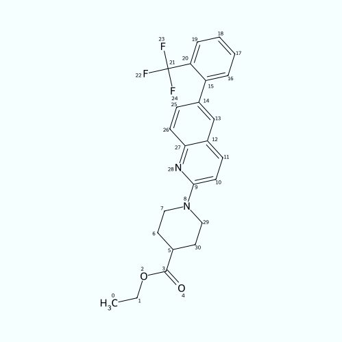 CCOC(=O)C1CCN(c2ccc3cc(-c4ccccc4C(F)(F)F)ccc3n2)CC1